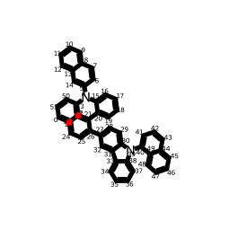 c1ccc(N(c2ccc3ccccc3c2)c2ccccc2-c2ccccc2-c2ccc3c(c2)c2ccccc2n3-c2cccc3ccccc23)cc1